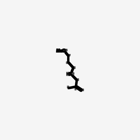 C=C(C)CNCCCOC